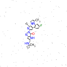 CC1(NCc2cc3ncn(-c4cc(-c5ccc(F)cc5-n5nccc5C(F)(F)F)cc(C5CC5)n4)c(=O)c3[nH]2)CCC1